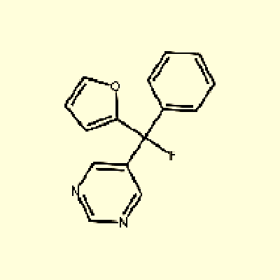 FC(c1ccccc1)(c1cncnc1)c1ccco1